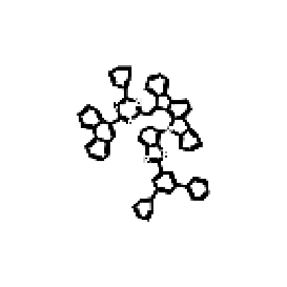 C1=c2nc(-c3cc(-c4ccccc4)cc(-c4ccccc4)c3)oc2=C(n2c3ccccc3c3ccc4c(c32)/C(=C/c2nc(-c3ccccc3)nc(-c3cc5ccccc5c5ccccc35)n2)c2ccccc2-4)CC1